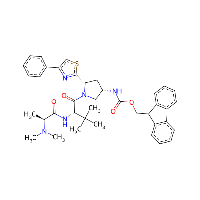 C[C@@H](C(=O)N[C@H](C(=O)N1C[C@@H](NC(=O)OCC2c3ccccc3-c3ccccc32)C[C@H]1c1nc(-c2ccccc2)cs1)C(C)(C)C)N(C)C